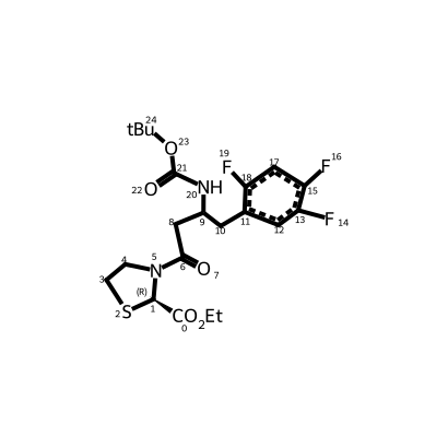 CCOC(=O)[C@H]1SCCN1C(=O)CC(Cc1cc(F)c(F)cc1F)NC(=O)OC(C)(C)C